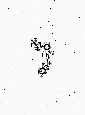 CN(CCNC(=O)c1cccc(-c2noc(C(F)(F)F)n2)c1)c1nc2cnccc2s1